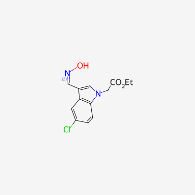 CCOC(=O)Cn1cc(/C=N\O)c2cc(Cl)ccc21